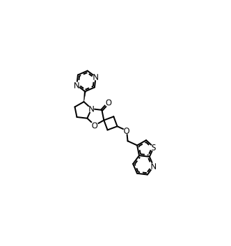 O=C1N2C(CC[C@H]2c2cnccn2)OC12CC(OCc1csc3ncccc13)C2